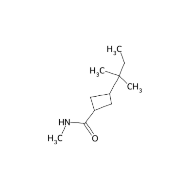 CCC(C)(C)C1CC(C(=O)NC)C1